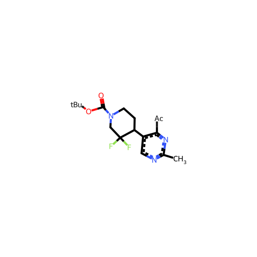 CC(=O)c1nc(C)ncc1C1CCN(C(=O)OC(C)(C)C)CC1(F)F